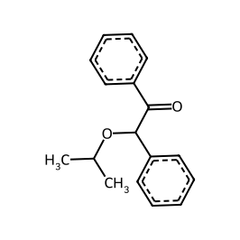 CC(C)OC(C(=O)c1ccccc1)c1ccccc1